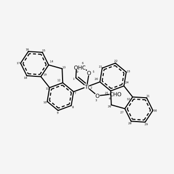 C[CH]=[Ti]([O]C=O)([O]C=O)([c]1cccc2c1Cc1ccccc1-2)[c]1cccc2c1Cc1ccccc1-2